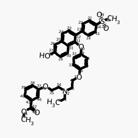 CCN(CCOc1ccc(Oc2c(-c3ccc(S(C)(=O)=O)cc3)ccc3cc(O)ccc23)cc1)CCOc1cccc(C(=O)OC)c1